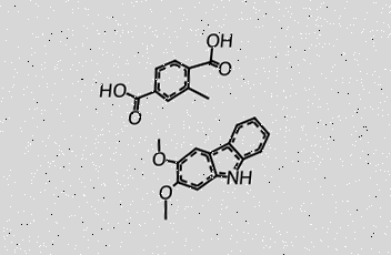 COc1cc2[nH]c3ccccc3c2cc1OC.Cc1cc(C(=O)O)ccc1C(=O)O